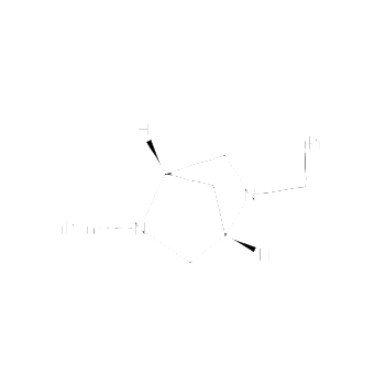 CCCC(C)N1C[C@@H]2C[C@H]1CN2CC(C)C